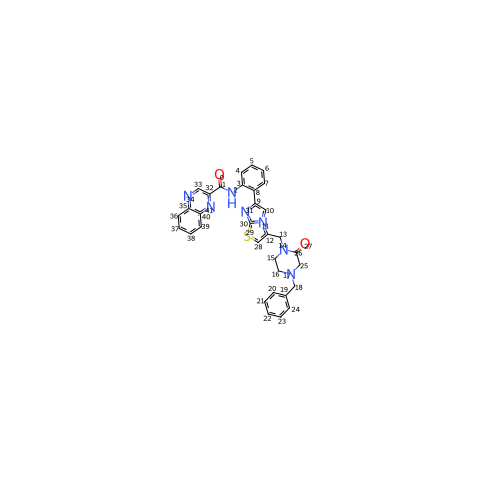 O=C(Nc1ccccc1-c1cn2c(CN3CCN(Cc4ccccc4)CC3=O)csc2n1)c1cnc2ccccc2n1